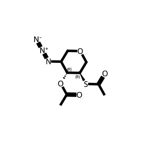 CC(=O)O[C@@H]1C(N=[N+]=[N-])COC[C@H]1SC(C)=O